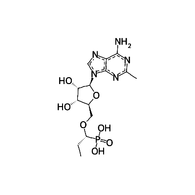 CC[C@H](OC[C@@H]1O[C@H](n2cnc3c(N)nc(C)nc32)[C@@H](O)[C@H]1O)P(=O)(O)O